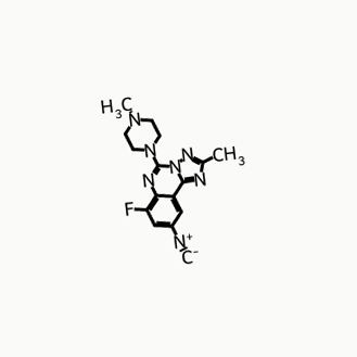 [C-]#[N+]c1cc(F)c2nc(N3CCN(C)CC3)n3nc(C)nc3c2c1